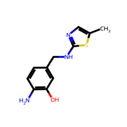 Cc1cnc(NCc2ccc(N)c(O)c2)s1